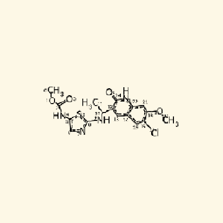 COC(=O)Nc1cnc(N[C@@H](C)c2cc3cc(Cl)c(OC)cc3[nH]c2=O)s1